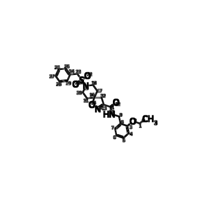 CCOc1ccccc1CNC(=O)C1=NOC2(CCN(S(=O)(=O)Cc3ccccc3)CC2)C1